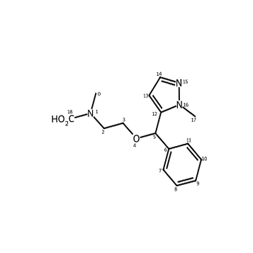 CN(CCOC(c1ccccc1)c1ccnn1C)C(=O)O